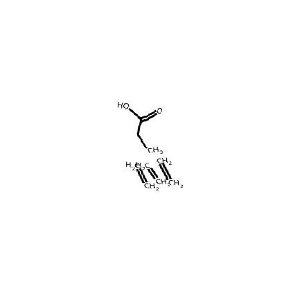 C=C.C=C.C=C.CCC(=O)O